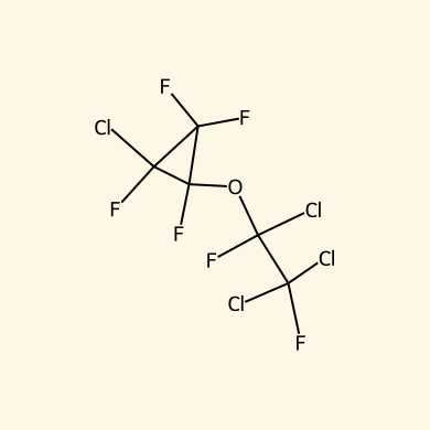 FC(Cl)(Cl)C(F)(Cl)OC1(F)C(F)(F)C1(F)Cl